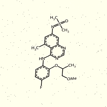 COCC(C)Oc1cc(F)ccc1Nc1ncnc2cc(N=S(C)(C)=O)cc(C)c12